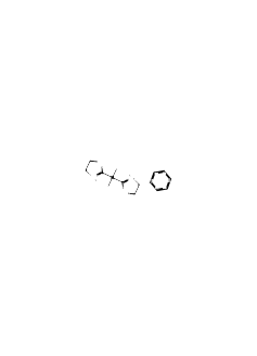 CC(C)(C1=NCCO1)C1=N[C@H](c2ccccc2)CO1